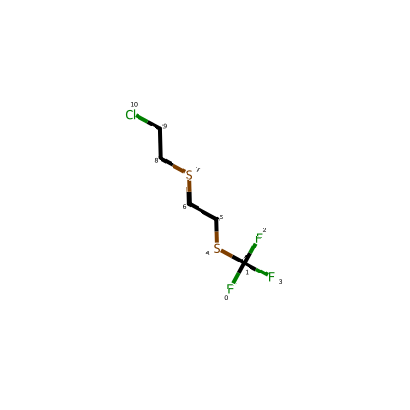 FC(F)(F)SCCSCCCl